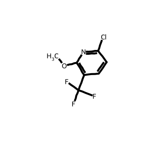 COc1nc(Cl)ccc1C(F)(F)F